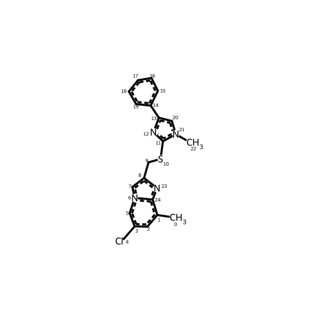 Cc1cc(Cl)cn2cc(CSc3nc(-c4ccccc4)cn3C)nc12